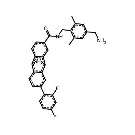 Cc1cc(CN)cc(C)c1CNC(=O)c1ccc2c(c1)c1oc2c2ccc(-c3ccc(F)cc3F)cc21